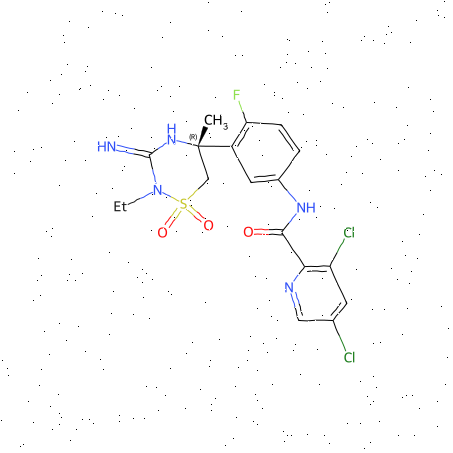 CCN1C(=N)N[C@](C)(c2cc(NC(=O)c3ncc(Cl)cc3Cl)ccc2F)CS1(=O)=O